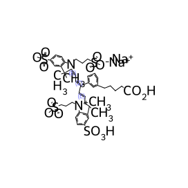 CC1(C)C(/C=C/C(=C/C=C2/N(CCCS(=O)(=O)[O-])c3ccc(S(=O)(=O)[O-])cc3C2(C)C)c2cccc(CCCCC(=O)O)c2)=[N+](CCCS(=O)(=O)[O-])c2ccc(S(=O)(=O)O)cc21.[Na+].[Na+]